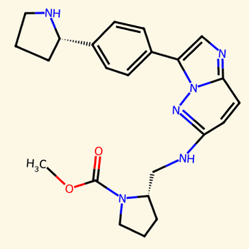 COC(=O)N1CCC[C@H]1CNc1ccc2ncc(-c3ccc([C@@H]4CCCN4)cc3)n2n1